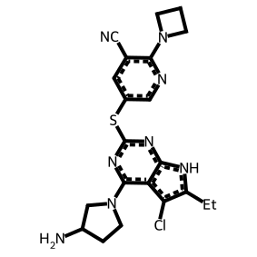 CCc1[nH]c2nc(Sc3cnc(N4CCC4)c(C#N)c3)nc(N3CCC(N)C3)c2c1Cl